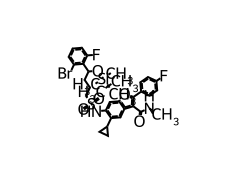 CNC(=O)c1c(-c2ccc(F)cc2)oc2cc(NS(=O)(=O)CCCC(O[Si](C)(C)C(C)(C)C)c3c(F)cccc3Br)c(C3CC3)cc12